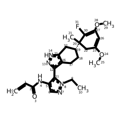 C=CC(=O)Nc1cnn(CC)c1-c1n[nH]c2c1CC[C@@H](C1(C)CC(OC)=CC(OC)=C1F)C2